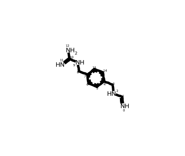 N=CNCc1ccc(CNC(=N)N)cc1